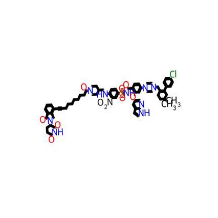 CC1(C)CCC(CN2CCN(c3ccc(C(=O)NS(=O)(=O)c4ccc(NCC5CCN(C(=O)CCCCCCCC#Cc6cccc7c6CN(C6CCC(=O)NC6=O)C7=O)CC5)c([N+](=O)[O-])c4)c(Oc4cnc5[nH]ccc5c4)c3)CC2)=C(c2ccc(Cl)cc2)C1